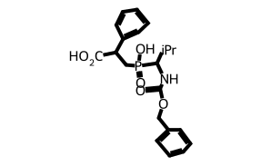 CC(C)C(NC(=O)OCc1ccccc1)P(=O)(O)CC(C(=O)O)c1ccccc1